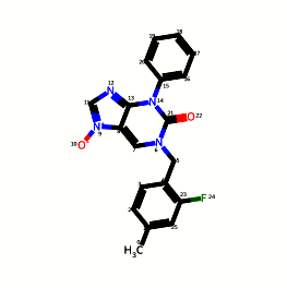 Cc1ccc(Cn2cc3[n+]([O-])cnc-3n(-c3ccccc3)c2=O)c(F)c1